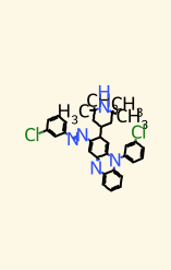 CC1(C)CC(C2C=C3C(=Nc4ccccc4N3c3cccc(Cl)c3)C=C2N=Nc2cccc(Cl)c2)CC(C)(C)N1